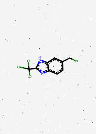 ClC(Cl)(Cl)c1nc2ccc(CBr)cc2[nH]1